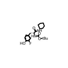 CC(C)(C)OC(=O)N[C@H](Cc1ccc(O)c(F)c1)C(=O)NC1CCCCC1